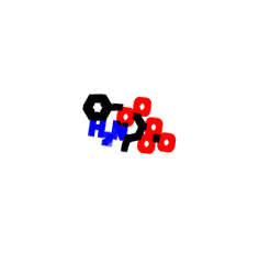 CC(N)C1OC(=O)OC1C(=O)OCc1ccccc1